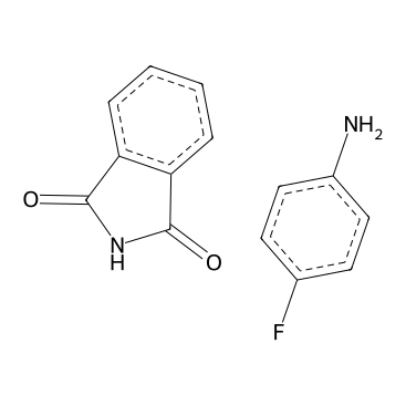 Nc1ccc(F)cc1.O=C1NC(=O)c2ccccc21